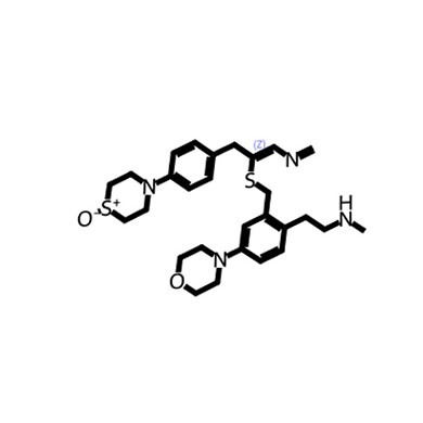 C=N/C=C(/Cc1ccc(N2CC[S+]([O-])CC2)cc1)SCc1cc(N2CCOCC2)ccc1CCNC